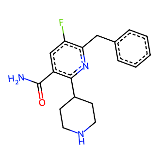 NC(=O)c1cc(F)c(Cc2ccccc2)nc1C1CCNCC1